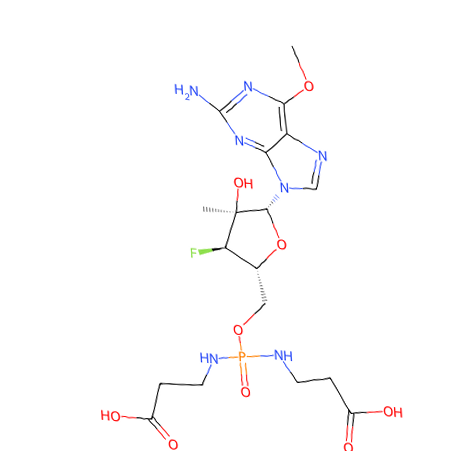 COc1nc(N)nc2c1ncn2[C@@H]1O[C@H](COP(=O)(NCCC(=O)O)NCCC(=O)O)[C@@H](F)[C@@]1(C)O